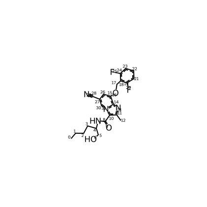 CCCCC(CO)NC(=O)c1c(C)nc2c(OCc3c(F)cccc3F)cc(C#N)cn12